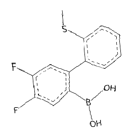 CSc1ccccc1-c1cc(F)c(F)cc1B(O)O